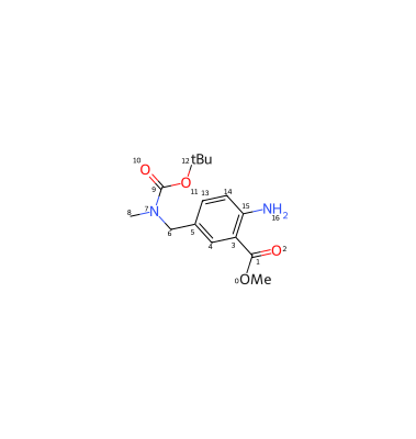 COC(=O)c1cc(CN(C)C(=O)OC(C)(C)C)ccc1N